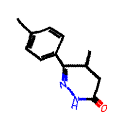 Cc1ccc(C2=NNC(=O)CC2C)cc1